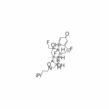 CC(C)CCN1C[C@@H]2C[C@H]3[C@@H]4C[C@H](F)C5=CC(=O)C=C[C@]5(C)[C@@]4(F)[C@@](O)(CF)C[C@]3(C)[C@]2(C(O)=S)O1